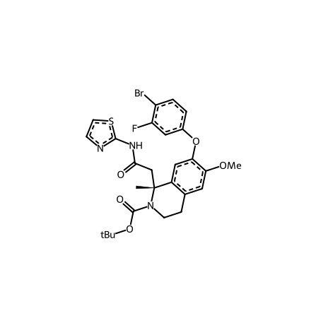 COc1cc2c(cc1Oc1ccc(Br)c(F)c1)[C@@](C)(CC(=O)Nc1nccs1)N(C(=O)OC(C)(C)C)CC2